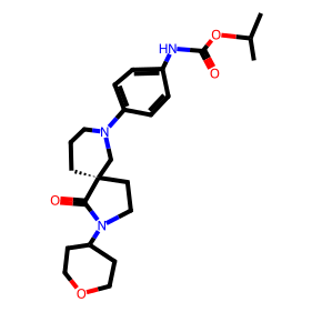 CC(C)OC(=O)Nc1ccc(N2CCC[C@@]3(CCN(C4CCOCC4)C3=O)C2)cc1